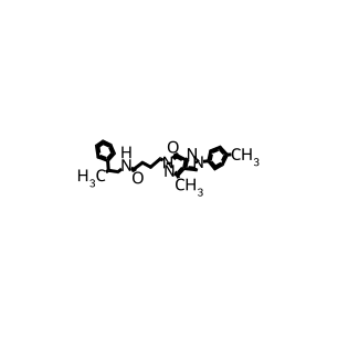 Cc1ccc(-n2cc3c(C)nn(CCCC(=O)NCC(C)c4ccccc4)c(=O)c3n2)cc1